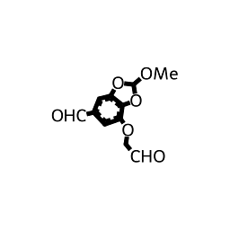 COC1Oc2cc(C=O)cc(OCC=O)c2O1